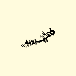 Cc1ccccc1COC(=O)Nc1c(C2CC2)nsc1C#Cc1nc2nc(C3(C(=O)O)CC3)oc2o1